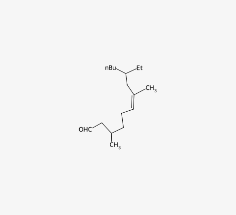 CCCCC(CC)C/C(C)=C\CCC(C)CC=O